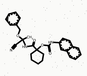 CC(C#N)(NC(=O)C1(OC(=O)Nc2ccc3ccccc3c2)CCCCC1)OCc1ccccc1